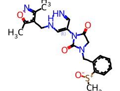 Cc1noc(C)c1CN/C=C(\C=N)N1C(=O)CN(Cc2ccccc2[S+](C)[O-])C1=O